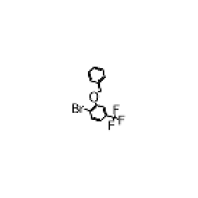 FC(F)(F)c1ccc(Br)c(OCc2ccccc2)c1